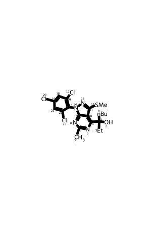 CCCCC(O)(CC)c1nc(C)nc2c1c(SC)nn2-c1c(Cl)cc(Cl)cc1Cl